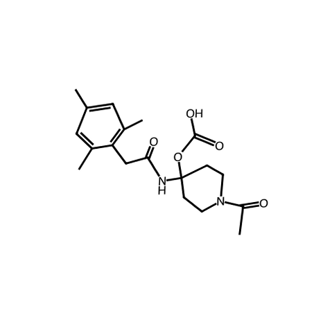 CC(=O)N1CCC(NC(=O)Cc2c(C)cc(C)cc2C)(OC(=O)O)CC1